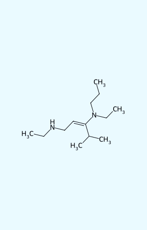 CCCN(CC)/C(=C/CNCC)C(C)C